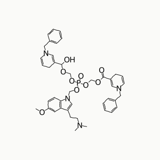 COc1ccc2c(c1)c(CCN(C)C)cn2COP(=O)(OCOC(=O)C1=CN(Cc2ccccc2)C=CC1)OCOC(O)C1=CN(Cc2ccccc2)C=CC1